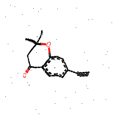 C#Cc1ccc2c(c1)OC(C)(C)CC2=O